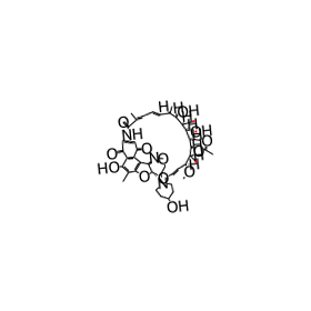 CO[C@H]1/C=C/O[C@@]2(C)Oc3c(C)c(O)c4c(c3/C2=N/OCCN2CCC(O)CC2)C(=O)C=C(NC(=O)/C(C)=C\C=C\[C@H](C)[C@H](O)[C@@H](C)[C@@H](O)[C@@H](C)[C@H](OC(C)=O)[C@@H]1C)C4=O